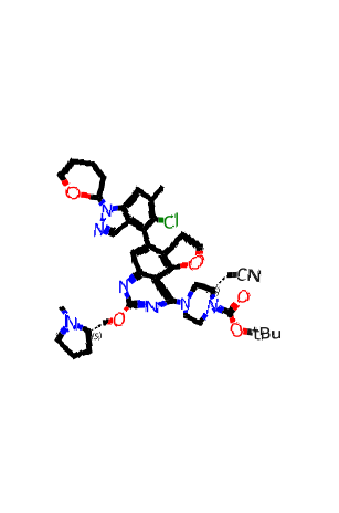 Cc1cc2c(cnn2C2CCCCO2)c(-c2cc3nc(OC[C@@H]4CCCN4C)nc(N4CCN(C(=O)OC(C)(C)C)[C@@H](CC#N)C4)c3c3c2CCO3)c1Cl